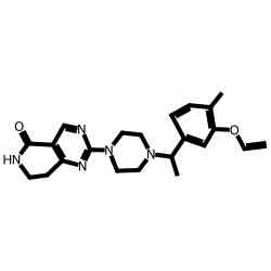 C=COc1cc(C(C)N2CCN(c3ncc4c(n3)CCNC4=O)CC2)ccc1C